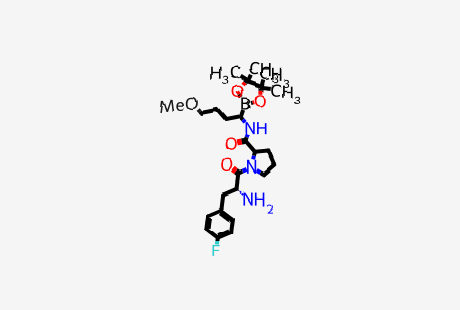 COCCCC(NC(=O)C1CCCN1C(=O)[C@H](N)Cc1ccc(F)cc1)B1OC(C)(C)C(C)(C)O1